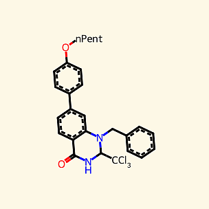 CCCCCOc1ccc(-c2ccc3c(c2)N(Cc2ccccc2)C(C(Cl)(Cl)Cl)NC3=O)cc1